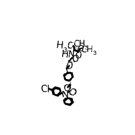 COC(=O)[C@@H](NC(=O)COC[C@H]1CC[C@H](COC(=O)N(c2ccccc2)c2ccc(Cl)cc2)CC1)C(C)C